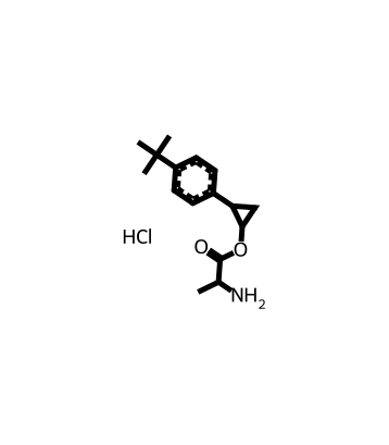 CC(N)C(=O)OC1CC1c1ccc(C(C)(C)C)cc1.Cl